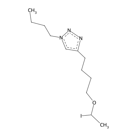 CCCCn1cc(CCCCOC(C)I)nn1